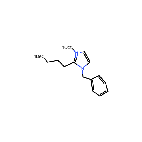 CCCCCCCCCCCCCc1n(Cc2ccccc2)cc[n+]1CCCCCCCC